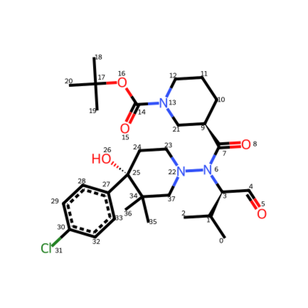 CC(C)[C@H](C=O)N(C(=O)[C@@H]1CCCN(C(=O)OC(C)(C)C)C1)N1CC[C@](O)(c2ccc(Cl)cc2)C(C)(C)C1